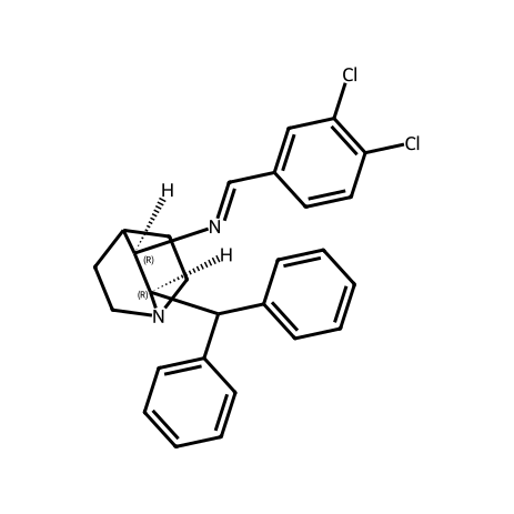 Clc1ccc(C=N[C@@H]2C3CCN(CC3)[C@@H]2C(c2ccccc2)c2ccccc2)cc1Cl